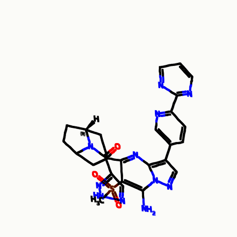 CS(=O)(=O)c1c(C2CC3CC[C@H](C2)N3C(=O)c2cn[nH]n2)nc2c(-c3ccc(-c4ncccn4)nc3)cnn2c1N